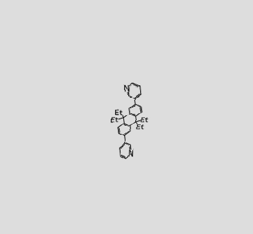 CCC1(CC)c2ccc(-c3cccnc3)cc2C(CC)(CC)c2ccc(-c3cccnc3)cc21